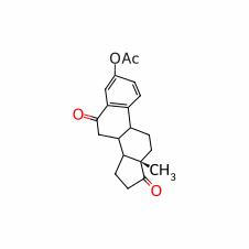 CC(=O)Oc1ccc2c(c1)C(=O)CC1C2CC[C@]2(C)C(=O)CCC12